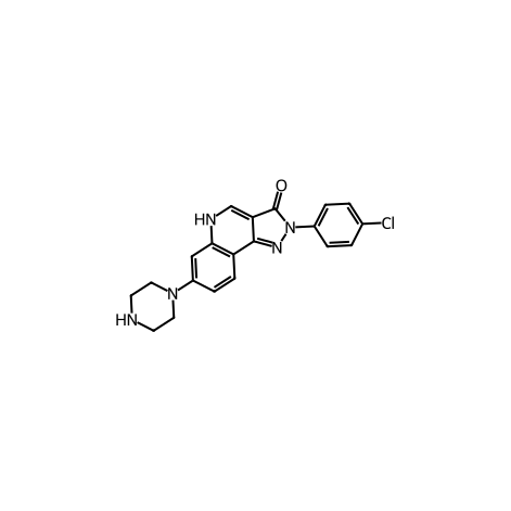 O=c1c2c[nH]c3cc(N4CCNCC4)ccc3c-2nn1-c1ccc(Cl)cc1